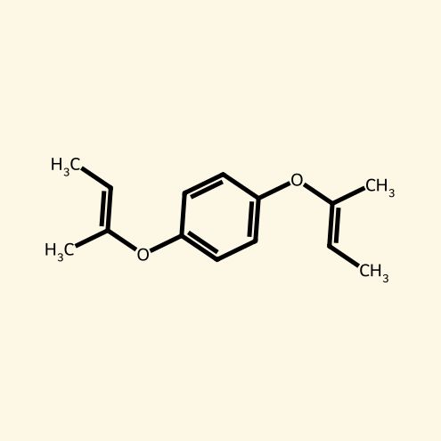 CC=C(C)Oc1ccc(OC(C)=CC)cc1